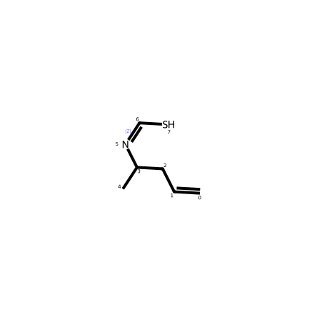 C=CCC(C)/N=C\S